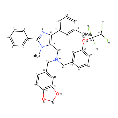 CCCCn1c(-c2ccccc2)nc(-c2cccc(OC)c2)c1CN(Cc1cccc(OC(F)(F)C(F)F)c1)Cc1ccc2c(c1)OCO2